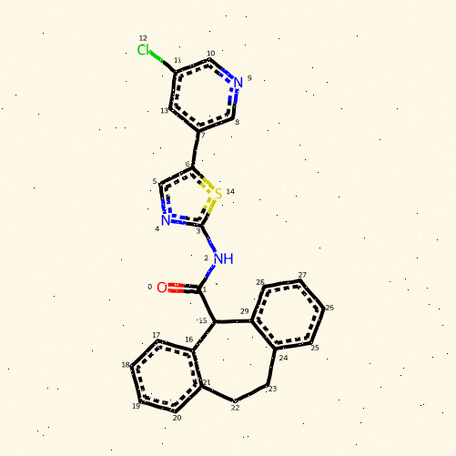 O=C(Nc1ncc(-c2cncc(Cl)c2)s1)C1c2ccccc2CCc2ccccc21